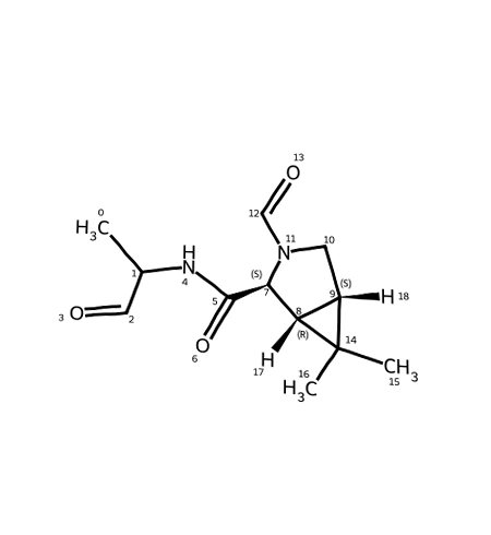 CC(C=O)NC(=O)[C@@H]1[C@@H]2[C@H](CN1C=O)C2(C)C